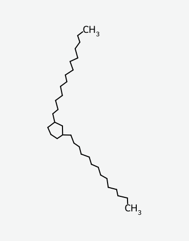 CCCCCCCCCCCCCCC1CCCC(CCCCCCCCCCCCCC)C1